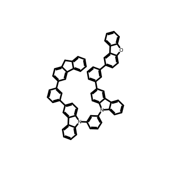 c1cc(-c2ccc3c(c2)-c2ccccc2C3)cc(-c2ccc3c(c2)c2ccccc2n3-c2cccc(-n3c4ccccc4c4cc(-c5cccc(-c6ccc7oc8ccccc8c7c6)c5)ccc43)c2)c1